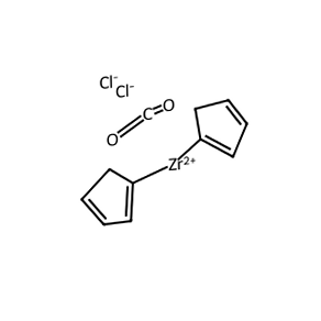 C1=CC[C]([Zr+2][C]2=CC=CC2)=C1.O=C=O.[Cl-].[Cl-]